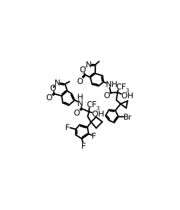 Cc1noc(=O)c2ccc(NC(=O)C(O)(CC3(c4cc(F)cc(F)c4F)CCC3)C(F)(F)F)cc12.Cc1noc(=O)c2ccc(NC(=O)C(O)(CC3(c4ccccc4Br)CC3)C(F)(F)F)cc12